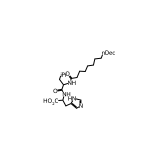 CCCCCCCCCCCCCCCCCC(=O)NC(CC(C)C)C(=O)NC(Cc1cnc[nH]1)C(=O)O